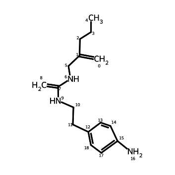 C=C(CCC)CNC(=C)NCCc1ccc(N)cc1